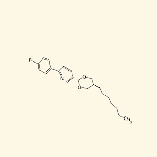 CCCCCCC[C@H]1CO[C@H](c2ccc(-c3ccc(F)cc3)nc2)OC1